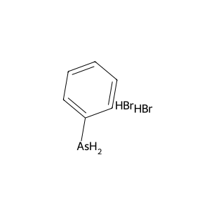 Br.Br.[AsH2]c1ccccc1